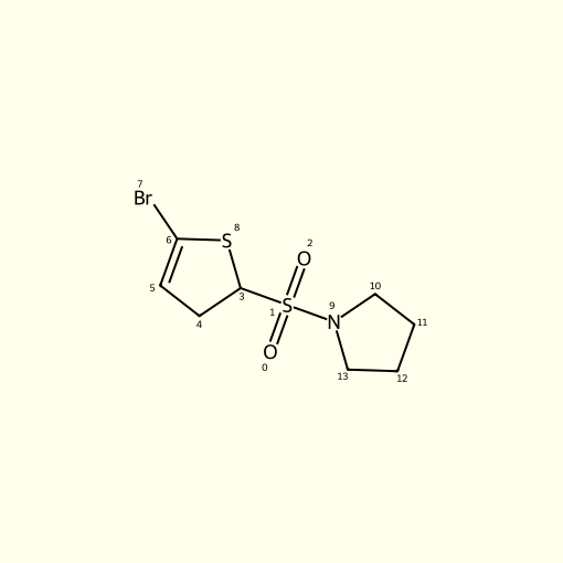 O=S(=O)(C1CC=C(Br)S1)N1CCCC1